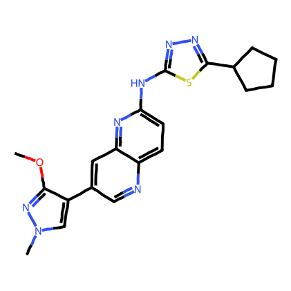 COc1nn(C)cc1-c1cnc2ccc(Nc3nnc(C4CCCC4)s3)nc2c1